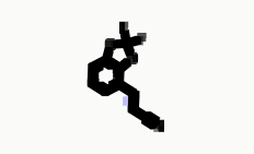 N#C/C=C/c1cccc2c1OC(F)(F)O2